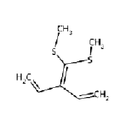 C=CC(C=C)=C(SC)SC